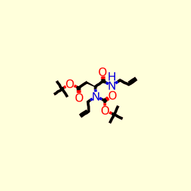 C=CCNC(=O)[C@H](CC(=O)OC(C)(C)C)N(CC=C)C(=O)OC(C)(C)C